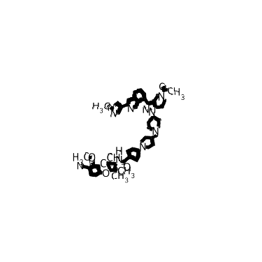 COc1cc(OC2C(C)(C)C(NC(=O)c3ccc(N4CCC(CN5CCC(n6nc(-c7cccc8cc(-c9cnn(C)c9)ncc78)c7c6CCN(C(C)=O)C7)CC5)CC4)cc3)C2(C)C)ccc1C#N